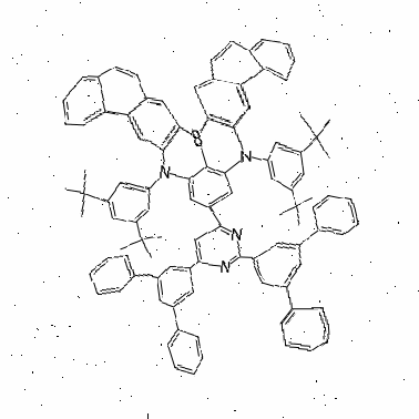 CC(C)(C)c1cc(N2c3cc4c(ccc5ccccc54)cc3B3c4cc5ccc6ccccc6c5cc4N(c4cc(C(C)(C)C)cc(C(C)(C)C)c4)c4cc(-c5cc(-c6cc(-c7ccccc7)cc(-c7ccccc7)c6)nc(-c6cc(-c7ccccc7)cc(-c7ccccc7)c6)n5)cc2c43)cc(C(C)(C)C)c1